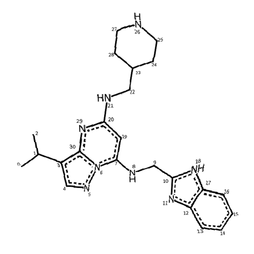 CC(C)c1cnn2c(NCc3nc4ccccc4[nH]3)cc(NCC3CCNCC3)nc12